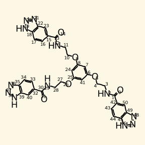 O=C(NCCOc1cc(OCCNC(=O)c2ccc3[nH]nnc3c2)cc(OCCNC(=O)c2ccc3nn[nH]c3c2)c1)c1ccc2[nH]nnc2c1